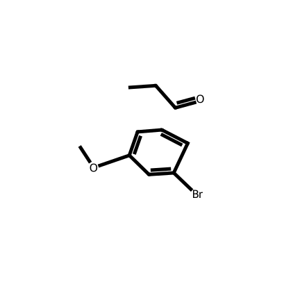 CCC=O.COc1cccc(Br)c1